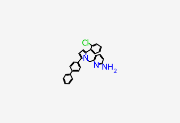 Nc1cccc(Cn2c(-c3ccc(-c4ccccc4)cc3)ccc2-c2ccccc2Cl)n1